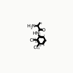 CC(N)C(=O)Nc1cccc(Cl)c1Cl